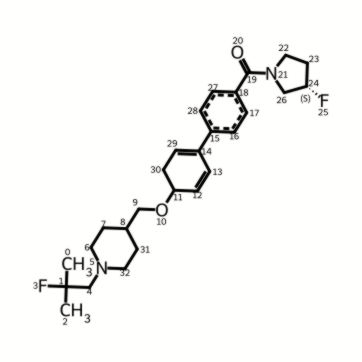 CC(C)(F)CN1CCC(COC2C=CC(c3ccc(C(=O)N4CC[C@H](F)C4)cc3)=CC2)CC1